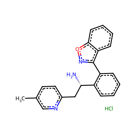 Cc1ccc(C[C@H](N)c2ccccc2-c2noc3ccccc23)nc1.Cl